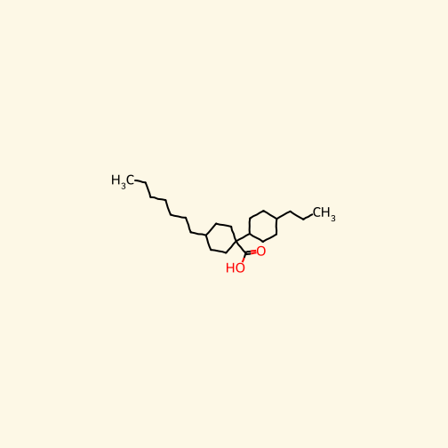 CCCCCCCC1CCC(C(=O)O)(C2CCC(CCC)CC2)CC1